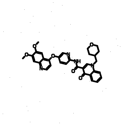 COc1cc2nccc(Oc3ccc(NC(=O)c4cn(CC5CCOCC5)c5ccccc5c4=O)nc3)c2cc1OC